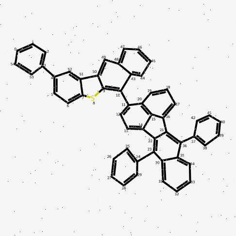 c1ccc(-c2ccc3sc4c(-c5ccc6c7c(cccc57)-c5c-6c(-c6ccccc6)c6ccccc6c5-c5ccccc5)c5ccccc5cc4c3c2)cc1